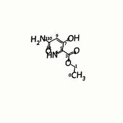 CCOC(=O)C(=N)/C(O)=C\C(N)=O